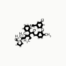 C=C/C(=C(C)\C=C(/C)N1CCC[S+]1[O-])C(C(=O)Cc1ccc(C)c(Oc2cc(Cl)cc(C#N)c2)c1)c1ccccc1